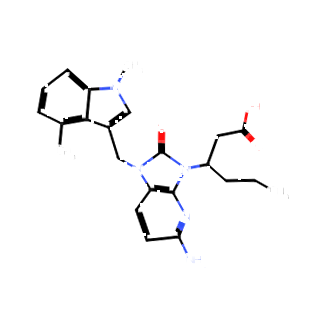 CCCC(CC(=O)O)n1c(=O)n(Cc2cn(C)c3cccc(C)c23)c2ccc(N)nc21